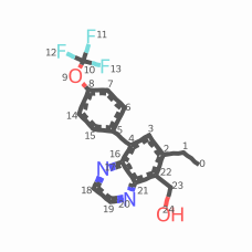 CCc1cc(-c2ccc(OC(F)(F)F)cc2)c2nccnc2c1CO